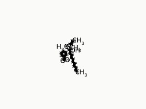 CCCCCCCCCCC(O)C[N+](C)(C)CCCC.O=C([O-])c1ccccc1